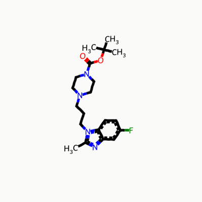 Cc1nc2cc(F)ccc2n1CCCN1CCN(C(=O)OC(C)(C)C)CC1